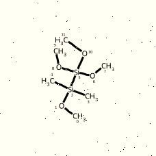 CO[Si](C)(C)[Si](OC)(OC)OC